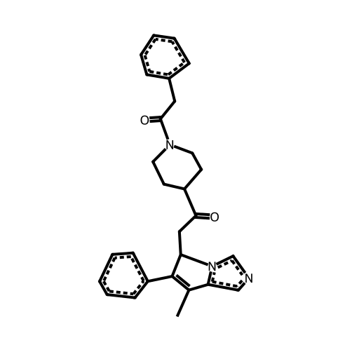 CC1=C(c2ccccc2)C(CC(=O)C2CCN(C(=O)Cc3ccccc3)CC2)n2cncc21